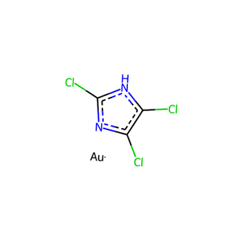 Clc1nc(Cl)c(Cl)[nH]1.[Au]